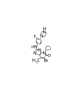 Cc1c(Br)c(=O)n(C2CCCC2)c2nc(Nc3ccc(N4CCNCC4)c(F)c3)ncc12